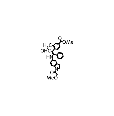 COCC(=O)N1CCc2cc(N/C(=C(\C=O)c3ccc(C(=O)OC)cc3C)c3ccccc3)ccc21